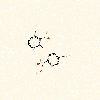 CC(=O)Nc1ccc([As](=O)(O)OO)cc1.Cc1cccc(C)c1S(=O)O